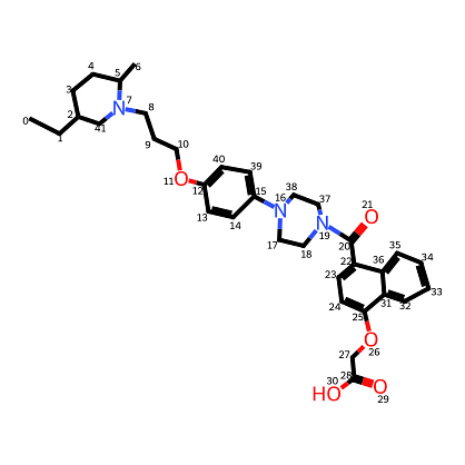 CCC1CCC(C)N(CCCOc2ccc(N3CCN(C(=O)c4ccc(OCC(=O)O)c5ccccc45)CC3)cc2)C1